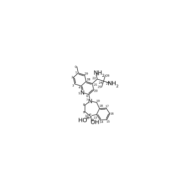 Cc1ccc2nc(N3CCS(O)(O)c4ccccc4C3)cc(C(N)C(C)(C)N)c2c1